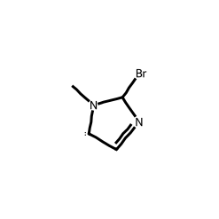 CN1[C]C=NC1Br